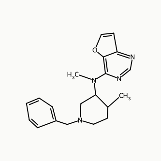 CC1CCN(Cc2ccccc2)CC1N(C)c1ncnc2ccoc12